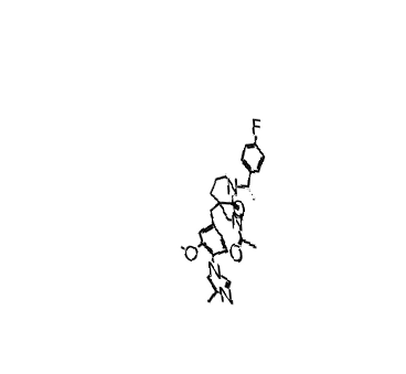 COc1cc(CC2(CN(C)C(C)=O)CCCN([C@@H](C)c3ccc(F)cc3)C2=O)ccc1-n1cnc(C)c1